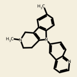 Cc1ccc2c(c1)c1c(n2-c2ccc3ncccc3c2)CCN(C)C1